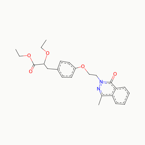 CCOC(=O)C(Cc1ccc(OCCn2nc(C)c3ccccc3c2=O)cc1)OCC